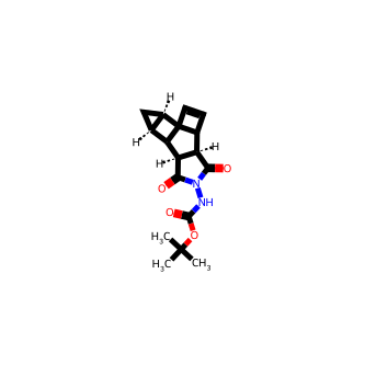 CC(C)(C)OC(=O)NN1C(=O)[C@@H]2C3C=CC34C([C@H]3C[C@H]34)[C@@H]2C1=O